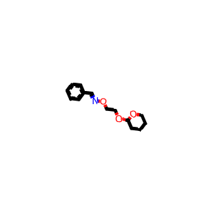 C(=NOCCOC1CCCCO1)c1ccccc1